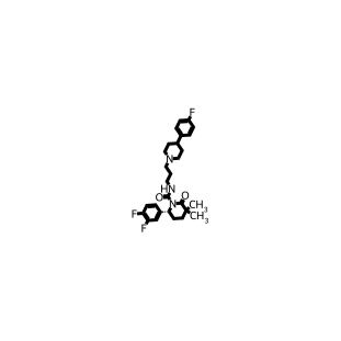 CC1(C)CC[C@H](c2ccc(F)c(F)c2)N(C(=O)NCCCN2CCC(c3ccc(F)cc3)CC2)C1=O